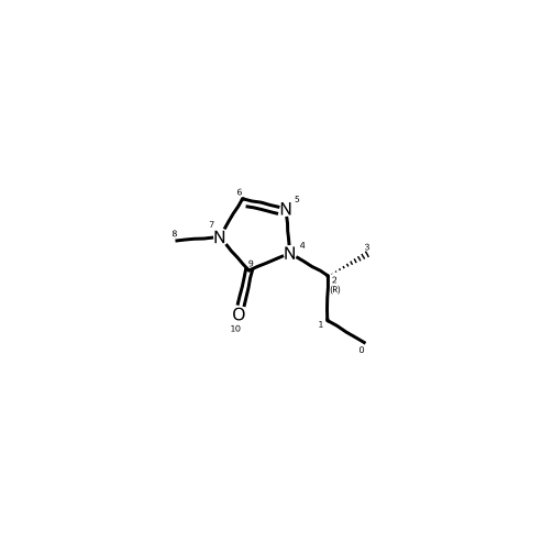 CC[C@@H](C)n1ncn(C)c1=O